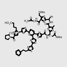 CNC(=O)C[C@H](NC(=O)c1csc(-c2ccc(-c3nc(-n4cc(C(=O)N5CCCC5C(=O)O)nc4CCCC(=O)O)cs3)nc2-c2csc(-c3csc(CCc4ccccc4)n3)n2)n1)c1nc(C(=O)NC(c2nc(C(=O)NCC(N)=O)c(COC)s2)C(C)C)c(C)s1